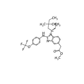 CC[C@H](CC(C)(C)CC)n1c(Nc2ccc(OC(F)(F)F)cc2)nc2cc(CC(=O)OC)ccc21